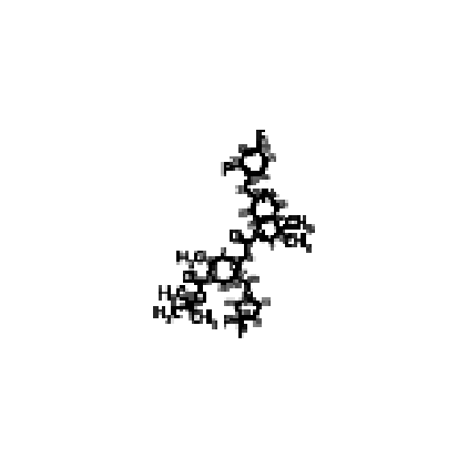 C[C@@H]1CN(CC(=O)N2CC(C)(C)c3cnc(Cc4ccc(F)cc4F)cc32)[C@@H](CN2CCC(F)(F)C2)CN1C(=O)OC(C)(C)C